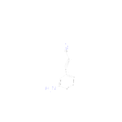 N#CC#Cc1cccc(N)c1